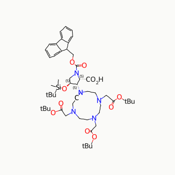 CC(C)(C)OC(=O)CN1CCN(CC(=O)OC(C)(C)C)CCN([C@@H]2[C@@H](O[Si](C)(C)C(C)(C)C)CN(C(=O)OCC3c4ccccc4-c4ccccc43)[C@@H]2C(=O)O)CCN(CC(=O)OC(C)(C)C)CC1